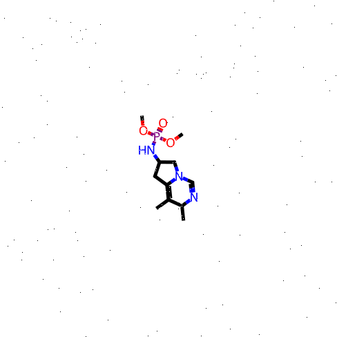 COP(=O)(NC1CC2=C(C)C(C)N=CN2C1)OC